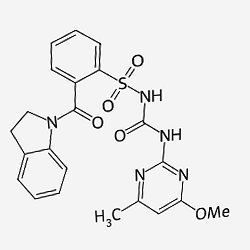 COc1cc(C)nc(NC(=O)NS(=O)(=O)c2ccccc2C(=O)N2CCc3ccccc32)n1